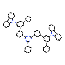 c1ccc(-c2cc(-c3cccc(-c4nc(-c5ccccc5)nc(-c5cccc(-c6cc(-c7ccccc7)cc(-n7c8ccccc8c8ccccc87)c6)c5)n4)c3)cc(-n3c4ccccc4c4ccccc43)c2)cc1